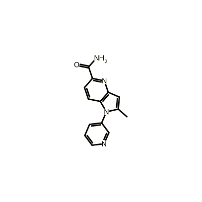 Cc1cc2nc(C(N)=O)ccc2n1-c1cccnc1